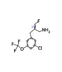 NC/C(=C\F)Cc1cc(Cl)cc(OC(F)(F)F)c1